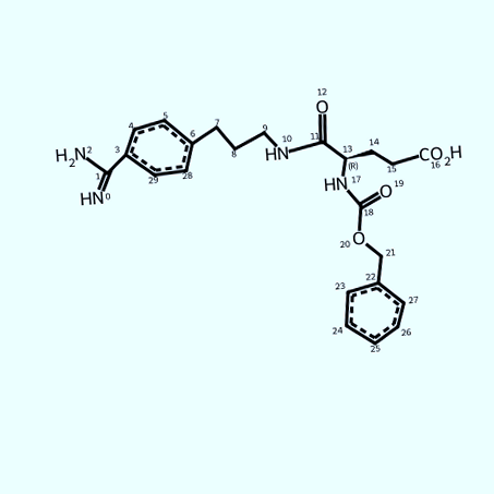 N=C(N)c1ccc(CCCNC(=O)[C@@H](CCC(=O)O)NC(=O)OCc2ccccc2)cc1